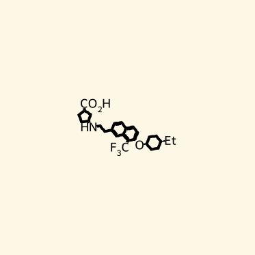 CC[C@H]1CC[C@@H](Oc2ccc3ccc(CCNC4CCC(C(=O)O)C4)cc3c2C(F)(F)F)CC1